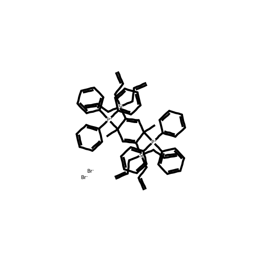 C=CC[Si](CC=C)(CC=C)C1=CC(C)([P+](c2ccccc2)(c2ccccc2)c2ccccc2)C([Si](CC=C)(CC=C)CC=C)=CC1(C)[P+](c1ccccc1)(c1ccccc1)c1ccccc1.[Br-].[Br-]